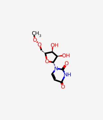 COOC[C@H]1O[C@@H](n2ccc(=O)[nH]c2=O)[C@H](O)[C@@H]1O